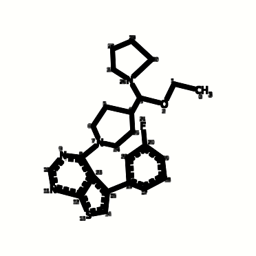 CCOC(C1CCN(c2ncnc3scc(-c4cccc(F)c4)c23)CC1)N1CCCC1